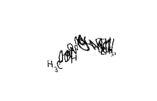 Cc1cccc(-c2cc(C(=O)N[C@H]3C[C@H](c4nnc(C5CN(C(=O)OC(C)(C)C)C5)o4)C3)no2)c1